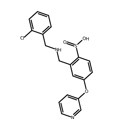 O=S(O)c1ccc(Oc2cccnc2)cc1CNCc1ccccc1Cl